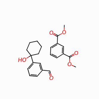 COC(=O)c1cccc(C(=O)OC)c1.O=Cc1cccc(C2(O)CCCCC2)c1